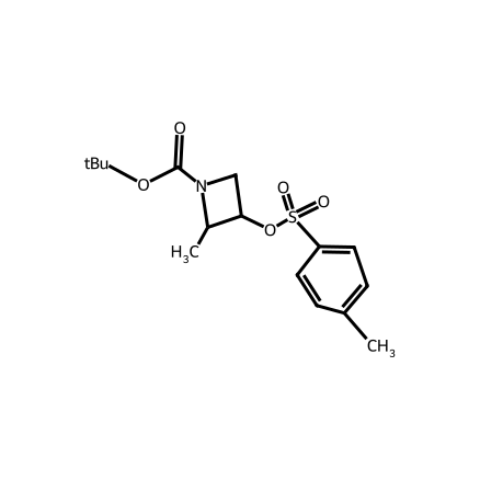 Cc1ccc(S(=O)(=O)OC2CN(C(=O)OC(C)(C)C)C2C)cc1